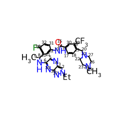 CCn1cc2ncc(N[C@@H](C)c3cc(NC(=O)c4ccc(CN5CCN(C)CC5)c(C(F)(F)F)c4)ccc3F)nc2n1